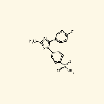 NS(=O)(=O)c1ccc(-c2sc(C(F)(F)F)nc2-c2ccc(F)cc2)cc1